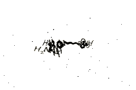 N=C(N)C1=C(NC2CCN(CCCCCCOC3=CC=CC4C(=O)NC(=O)C34)CC2)CCNC1